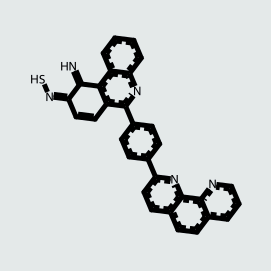 N=C1/C(=N\S)C=Cc2c(-c3ccc(-c4ccc5ccc6cccnc6c5n4)cc3)nc3ccccc3c21